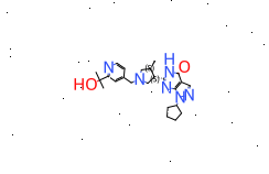 C[C@@H]1CN(Cc2ccnc(C(C)(C)O)c2)C[C@H]1c1nc2c(cnn2C2CCCC2)c(=O)[nH]1